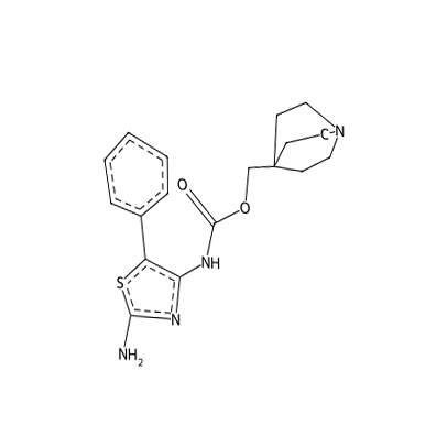 Nc1nc(NC(=O)OCC23CCN(CC2)CC3)c(-c2ccccc2)s1